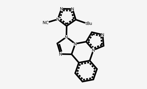 CC(C)(C)c1nnn(C#N)c1N1C=NC2c3ccccc3-n3cncc3N21